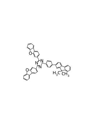 CC1(C)c2ccccc2-c2ccc(-c3ccc(-c4nc(-c5ccc6c(c5)oc5ccccc56)nc(-c5ccc6c(c5)oc5ccccc56)n4)cc3)cc21